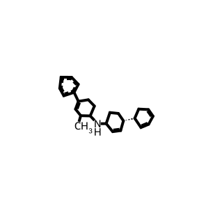 CC1C=C(c2ccccc2)CCC1NC1C=C[C@@H](C2C=CC=CC2)CC1